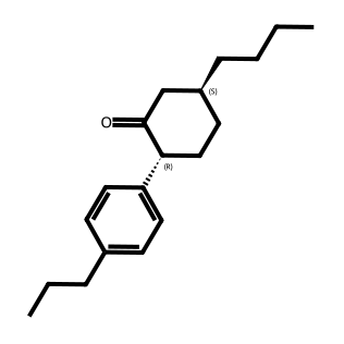 CCCC[C@H]1CC[C@H](c2ccc(CCC)cc2)C(=O)C1